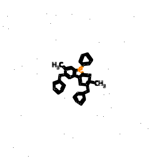 Cc1cc2c(cc1Cc1ccccc1)c1cc(Cc3ccccc3)c(C)cc1p2-c1ccccc1